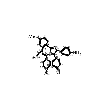 COc1ccc(C2=NC(c3ccc(N)cc3)C(c3ccc(Cl)cc3)N2C(=O)N2CCN(C(C)=O)CC2)c(CCC(C)C)c1